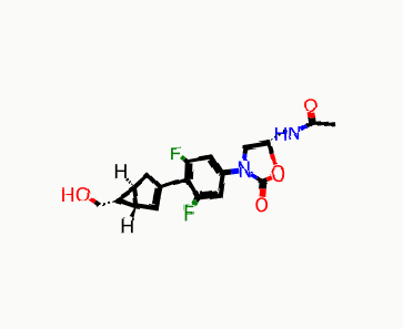 CC(=O)NC[C@H]1CN(c2cc(F)c(C3=C[C@@H]4[C@H](CO)[C@H]4C3)c(F)c2)C(=O)O1